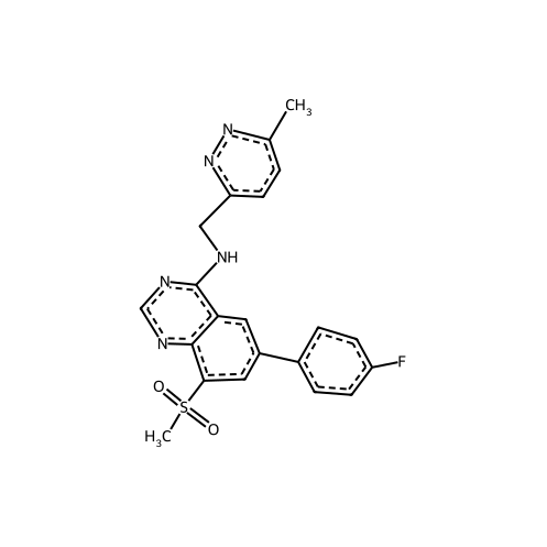 Cc1ccc(CNc2ncnc3c(S(C)(=O)=O)cc(-c4ccc(F)cc4)cc23)nn1